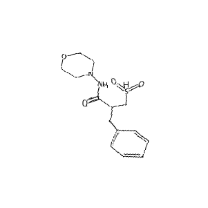 O=C(NN1CCOCC1)C(Cc1ccccc1)C[SH](=O)=O